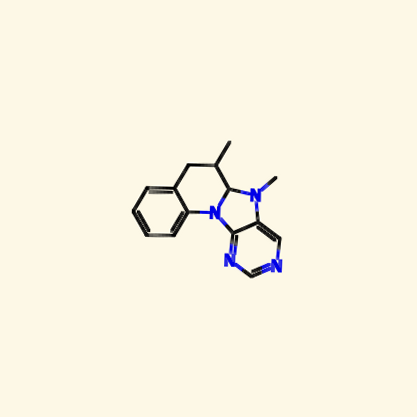 CC1Cc2ccccc2N2c3ncncc3N(C)C12